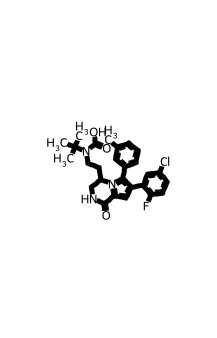 Cc1cccc(-c2c(-c3cc(Cl)ccc3F)cc3n2C(CCN(C(=O)O)C(C)(C)C)CNC3=O)c1